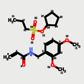 C=CC(=O)NCc1ccc(OC)cc1OC.CCCS(=O)(=O)OC1CCCC1